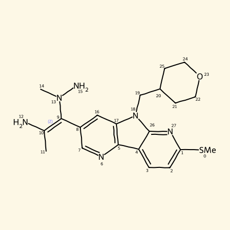 CSc1ccc2c3ncc(/C(=C(\C)N)N(C)N)cc3n(CC3CCOCC3)c2n1